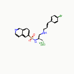 C[C@H](CNCC=Cc1ccc(Br)cc1)NS(=O)(=O)c1ccc2cnccc2c1.Cl.Cl